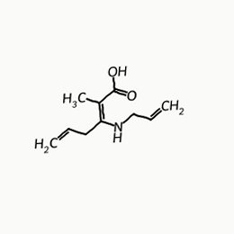 C=CCNC(CC=C)=C(C)C(=O)O